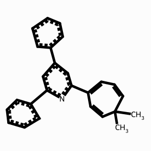 CC1(C)C=CC=C(c2cc(-c3ccccc3)cc(-c3ccccc3)n2)C=C1